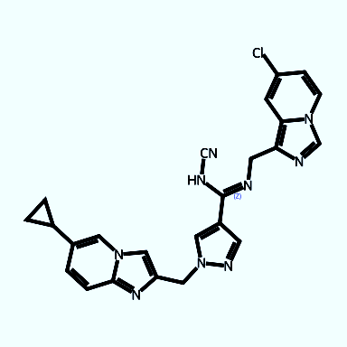 N#CN/C(=N\Cc1ncn2ccc(Cl)cc12)c1cnn(Cc2cn3cc(C4CC4)ccc3n2)c1